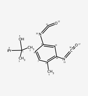 CC(C)C(C)(C)O.Cc1ccc(N=C=O)cc1N=C=O